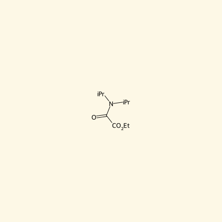 CCOC(=O)C(=O)N(C(C)C)C(C)C